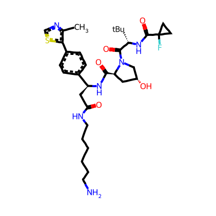 Cc1ncsc1-c1ccc([C@H](CC(=O)NCCCCCCN)NC(=O)[C@@H]2C[C@@H](O)CN2C(=O)[C@@H](NC(=O)C2(F)CC2)C(C)(C)C)cc1